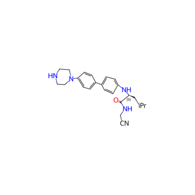 CC(C)C[C@H](Nc1ccc(-c2ccc(N3CCNCC3)cc2)cc1)C(=O)NCC#N